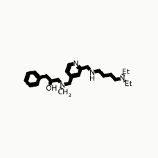 CCN(CC)CCCCNCc1cc(CN(C)CC(O)Cc2ccccc2)ccn1